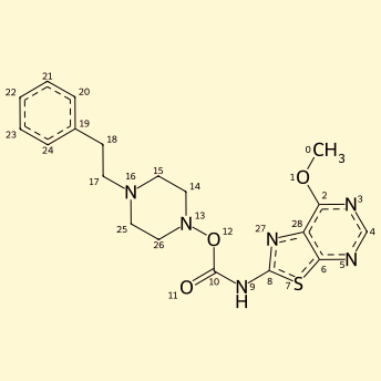 COc1ncnc2sc(NC(=O)ON3CCN(CCc4ccccc4)CC3)nc12